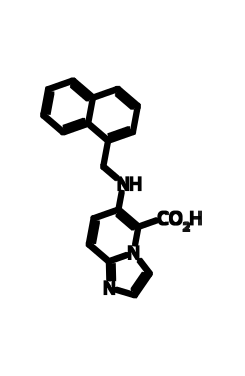 O=C(O)c1c(NCc2cccc3ccccc23)ccc2nccn12